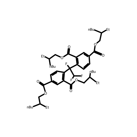 CCCCC(CC)COC(=O)c1ccc(C(F)(c2ccc(C(=O)OCC(CC)CCCC)cc2C(=O)OCC(CC)CCCC)C(F)F)c(C(=O)OCC(CC)CCCC)c1